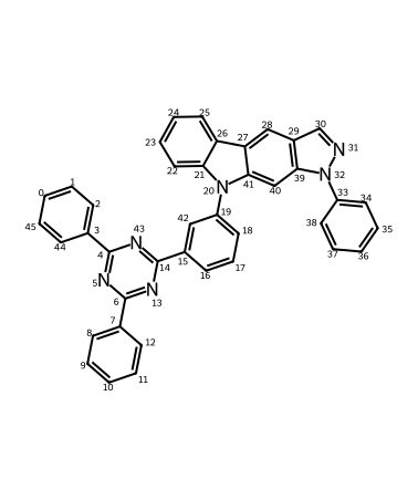 c1ccc(-c2nc(-c3ccccc3)nc(-c3cccc(-n4c5ccccc5c5cc6cnn(-c7ccccc7)c6cc54)c3)n2)cc1